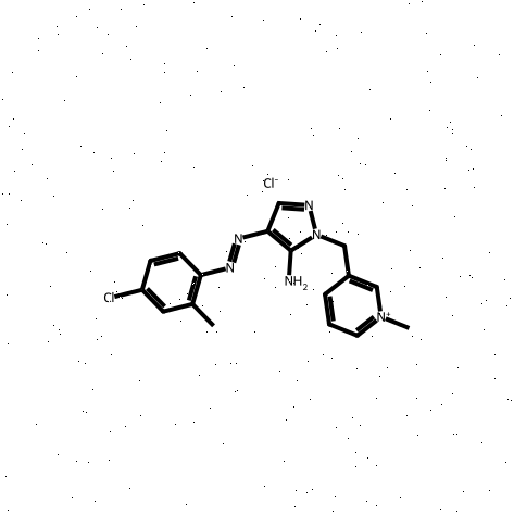 Cc1cc(Cl)ccc1N=Nc1cnn(Cc2ccc[n+](C)c2)c1N.[Cl-]